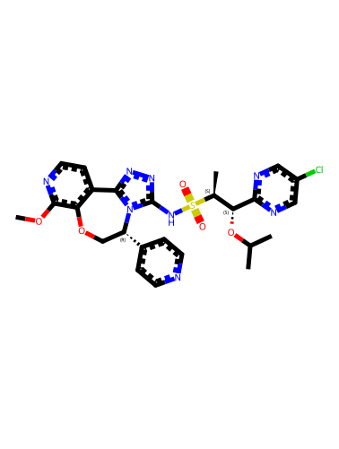 COc1nccc2c1OC[C@@H](c1ccncc1)n1c(NS(=O)(=O)[C@@H](C)[C@@H](OC(C)C)c3ncc(Cl)cn3)nnc1-2